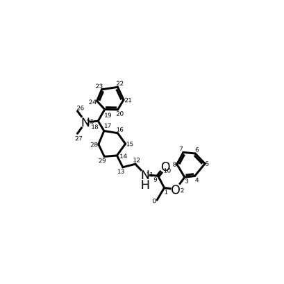 CC(Oc1ccccc1)C(=O)NCCC1CCC(C(c2ccccc2)N(C)C)CC1